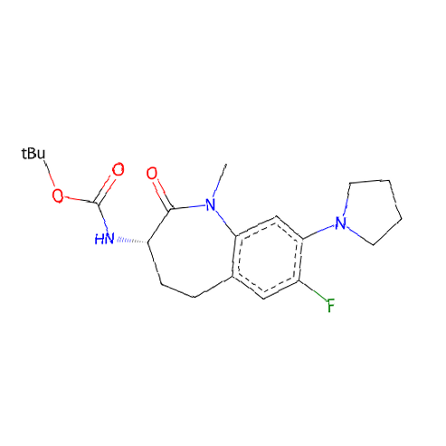 CN1C(=O)[C@@H](NC(=O)OC(C)(C)C)CCc2cc(F)c(N3CCCC3)cc21